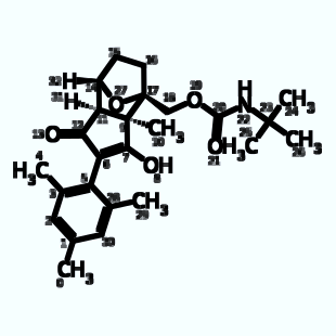 Cc1cc(C)c(C2=C(O)[C@@]3(C)[C@@H](C2=O)[C@@H]2CC[C@@]3(COC(=O)NC(C)(C)C)O2)c(C)c1